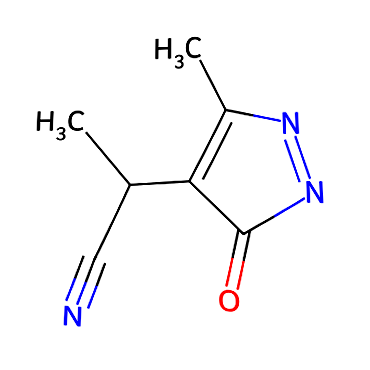 CC1=C(C(C)C#N)C(=O)N=N1